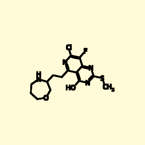 CSc1nc(O)c2c(CCC3COCCCN3)nc(Cl)c(F)c2n1